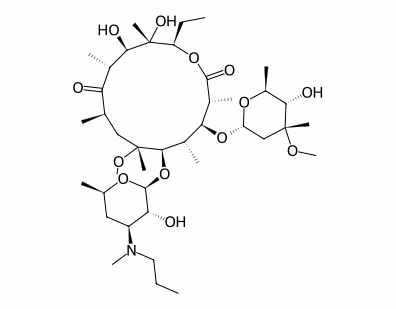 CCCN(C)[C@H]1C[C@@H](C)O[C@@H](O[C@@H]2[C@@H](C)[C@H](O[C@H]3C[C@@](C)(OC)[C@@H](O)[C@H](C)O3)[C@@H](C)C(=O)O[C@H](CC)[C@@](C)(O)[C@H](O)[C@@H](C)C(=O)[C@H](C)C[C@@]2(C)OC)[C@@H]1O